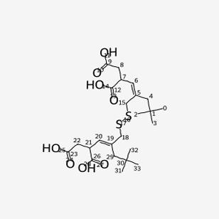 CC(C)(C)CC(=CC(CC(=O)O)C(=O)O)CSSCC(=CC(CC(=O)O)C(=O)O)CC(C)(C)C